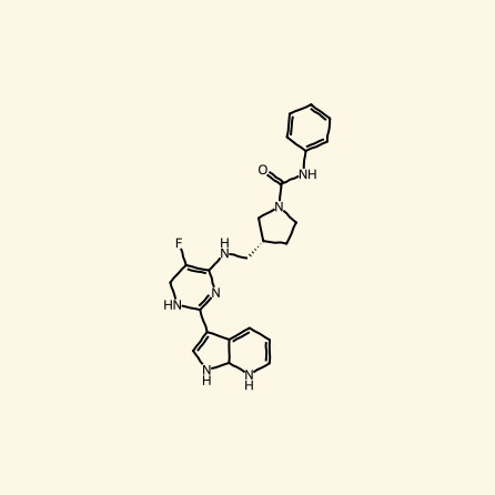 O=C(Nc1ccccc1)N1CC[C@H](CNC2=C(F)CNC(C3=CNC4NC=CC=C34)=N2)C1